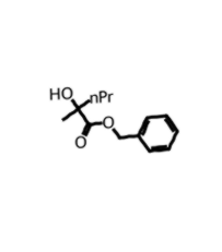 CCCC(C)(O)C(=O)OCc1ccccc1